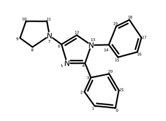 c1ccc(-c2nc(N3CCCC3)cn2-c2ccccc2)cc1